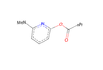 CCCC(=O)Oc1cccc(NC)n1